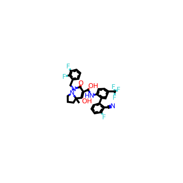 CC12CCCN1N(Cc1cccc(F)c1F)C(=O)C(C(O)Nc1ccc(C(F)(F)F)cc1-c1cccc(F)c1C#N)=C2O